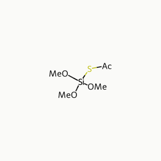 CO[Si](OC)(OC)SC(C)=O